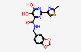 Cc1nc(-c2nc(O)c(O)c(C(=O)NCc3ccc4c(c3)OCO4)n2)cs1